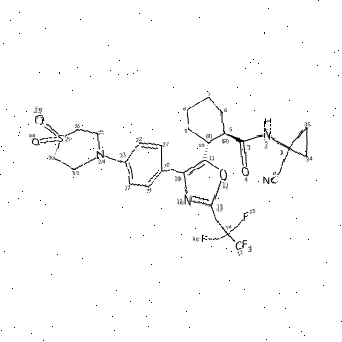 N#CC1(NC(=O)[C@@H]2CCCC[C@H]2c2oc(C(F)(F)C(F)(F)F)nc2-c2ccc(N3CCS(=O)(=O)CC3)cc2)CC1